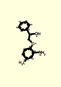 Cc1ccc(OCC(O)c2ccccc2)c(N)c1